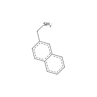 [SiH2]Cc1ccc2ccccc2c1